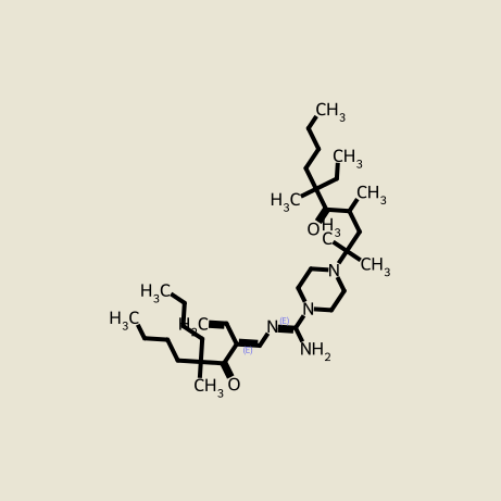 C=C/C(=C\N=C(/N)N1CCN(C(C)(C)CC(C)C(=O)C(C)(CC)CCCC)CC1)C(=O)C(C)(CCCC)CCCC